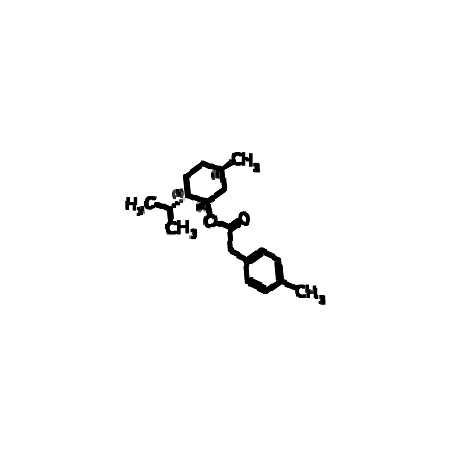 Cc1ccc(CC(=O)O[C@@H]2C[C@H](C)CC[C@H]2C(C)C)cc1